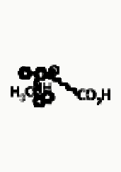 C[C@@H](NCC1CN(C(=O)CCCCCCCC(=O)O)CCC1c1ccccc1)c1cccc2ccccc12